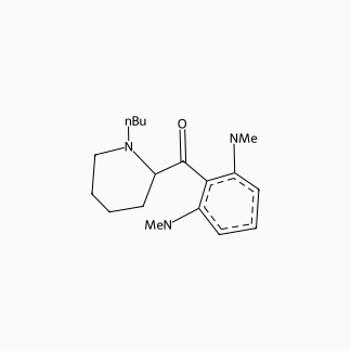 CCCCN1CCCCC1C(=O)c1c(NC)cccc1NC